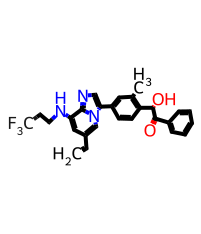 C=Cc1cc(NCCC(F)(F)F)c2ncc(-c3ccc(C(O)C(=O)c4ccccc4)c(C)c3)n2c1